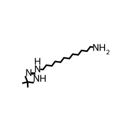 CC1(C)CN=C(NCCCCCCCCCCCCN)NC1